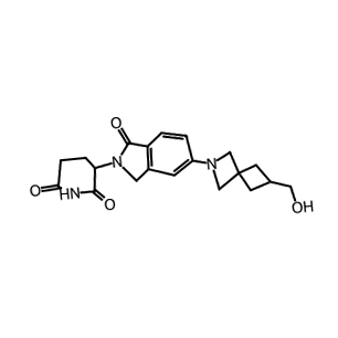 O=C1CCC(N2Cc3cc(N4CC5(CC(CO)C5)C4)ccc3C2=O)C(=O)N1